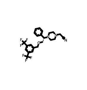 N#CCN1CCN([C@H](COCc2cc(C(F)(F)F)cc(C(F)(F)F)c2)c2ccccc2)CC1